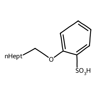 CCCCCCCCOc1ccccc1S(=O)(=O)O